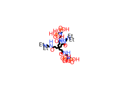 CCN(CC)CCNC(=O)CCC(CCC(=O)NCCN(CC)CC)(CCC(=O)NCCN(CP(=O)(O)O)CP(=O)(O)O)CCC(=O)NCCN(CP(=O)(O)O)CP(=O)(O)O